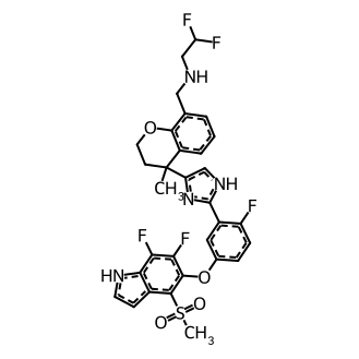 CC1(c2c[nH]c(-c3cc(Oc4c(F)c(F)c5[nH]ccc5c4S(C)(=O)=O)ccc3F)n2)CCOc2c(CNCC(F)F)cccc21